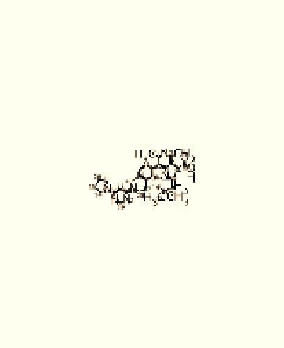 Cc1nc(C)c([C@H](C)C(=O)O)c(N2CCC(C)(C)CC2)c1-c1ccc2c(c1)CCN(c1cc(N3CCCC3)ncn1)C2